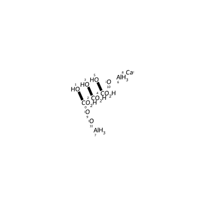 O=C(O)O.O=C(O)O.O=C(O)O.[AlH3].[AlH3].[Ca].[O].[O].[O]